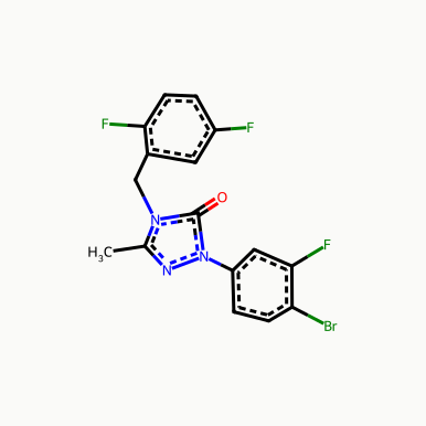 Cc1nn(-c2ccc(Br)c(F)c2)c(=O)n1Cc1cc(F)ccc1F